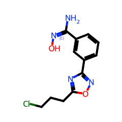 N/C(=N/O)c1cccc(-c2noc(CCCCl)n2)c1